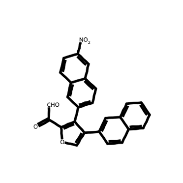 O=CC(=O)c1occ(-c2ccc3ccccc3c2)c1-c1ccc2cc([N+](=O)[O-])ccc2c1